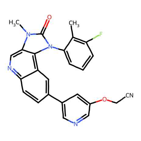 Cc1c(F)cccc1-n1c(=O)n(C)c2cnc3ccc(-c4cncc(OCC#N)c4)cc3c21